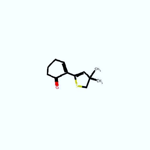 CC1(C)C=C(C2=CCCCC2=O)SC1